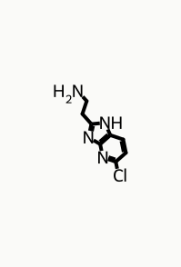 NCCc1nc2nc(Cl)ccc2[nH]1